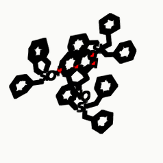 c1ccc(C[Si](Cc2ccccc2)(Cc2ccccc2)O/N=C(\C/C(=N/O[Si](Cc2ccccc2)(Cc2ccccc2)Cc2ccccc2)c2ccccc2)C/C(=N\O[Si](Cc2ccccc2)(Cc2ccccc2)Cc2ccccc2)c2ccccc2)cc1